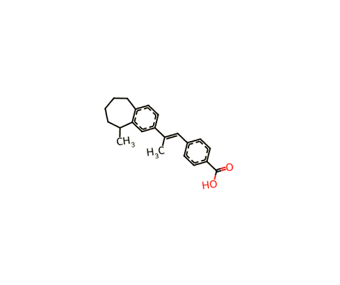 CC(=Cc1ccc(C(=O)O)cc1)c1ccc2c(c1)C(C)CCCC2